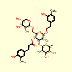 COc1ccc(CCO[C@@H]2O[C@H](CO[C@H]3OC[C@@H](O)[C@@H](O)[C@@H]3O)[C@@H](OC(=O)/C=C/c3ccc(O)c(OC)c3)[C@H](O[C@@H]3O[C@@H](C)[C@@H](O)[C@@H](O)[C@H]3O)[C@H]2O)cc1O